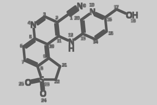 N#Cc1cnc2ccc3c(c2c1Nc1ccc(CO)nc1)CCS3(=O)=O